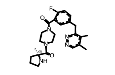 Cc1cnnc(Cc2ccc(F)c(C(=O)N3CCN(C(=O)[C@]4(C)CCCN4)CC3)c2)c1C